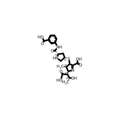 C[C@H]1C(S[C@@H]2CN[C@H](C(=O)Nc3cccc(C(=O)O)c3)C2)C(C(=O)O)=NC1[C@H](C(=O)O)[C@@H](C)O